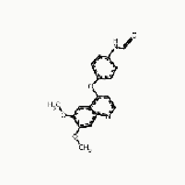 COc1cc2nccc(Oc3ccc(NC=O)cc3)c2cc1OC